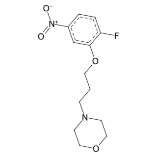 O=[N+]([O-])c1ccc(F)c(OCCCN2CCOCC2)c1